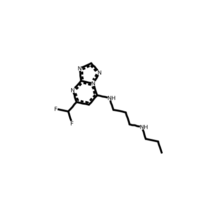 CCCNCCCNc1cc(C(F)F)nc2ncnn12